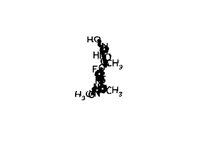 COc1cnc2c(-c3nc4cc(F)c(OC[C@@H](C)OC(=O)Nc5ccnc(CCO)c5)cc4s3)cc(C)cc2n1